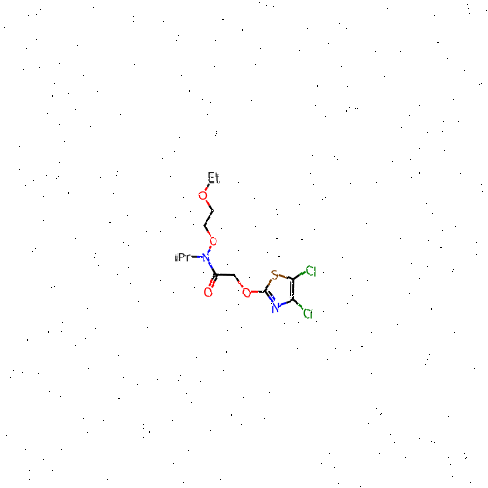 CCOCCON(C(=O)COc1nc(Cl)c(Cl)s1)C(C)C